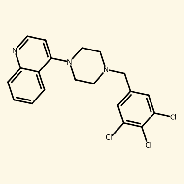 Clc1cc(CN2CCN(c3ccnc4ccccc34)CC2)cc(Cl)c1Cl